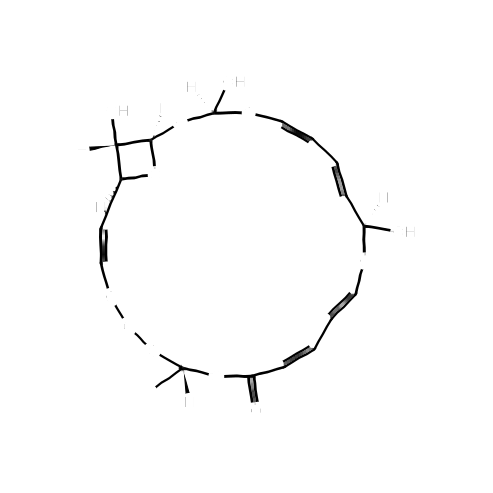 C[C@@H]1CCCC=C[C@@H]2O[C@H](C[C@@H](O)C/C=C\C=C\[C@@H](O)C/C=C/C=C\C(=O)O1)[C@H]2O